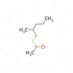 CCCC(C)CSC(C)[O]